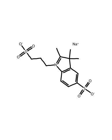 CC1=[N+](CCCS(=O)(=O)[O-])c2ccc(S(=O)(=O)[O-])cc2C1(C)C.[Na+]